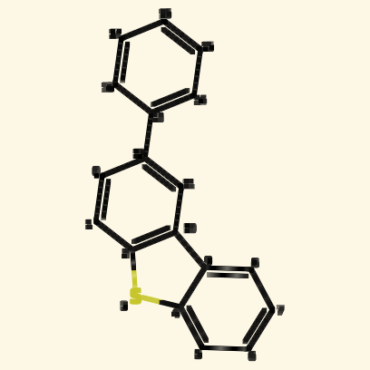 [c]1cc2sc3ccccc3c2cc1-c1ccccc1